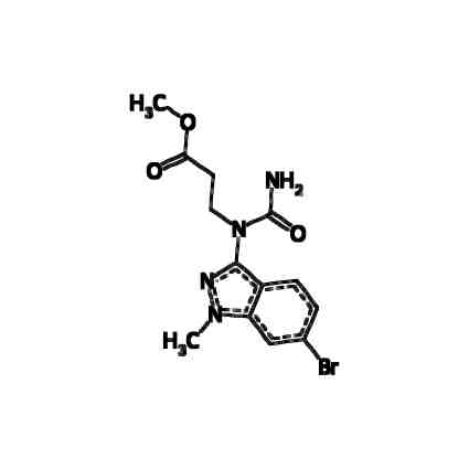 COC(=O)CCN(C(N)=O)c1nn(C)c2cc(Br)ccc12